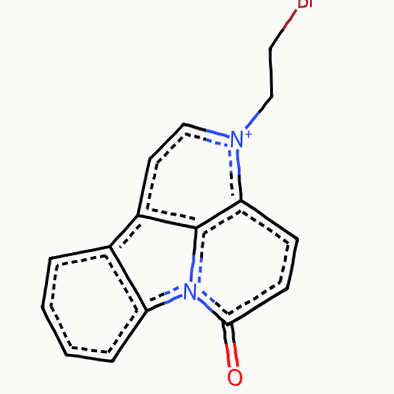 O=c1ccc2c3c(cc[n+]2CCBr)c2ccccc2n13